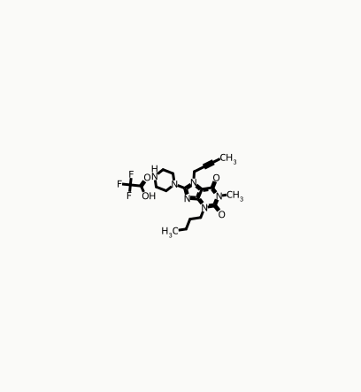 CC#CCn1c(N2CCNCC2)nc2c1c(=O)n(C)c(=O)n2CCCC.O=C(O)C(F)(F)F